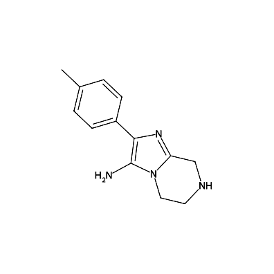 Cc1ccc(-c2nc3n(c2N)CCNC3)cc1